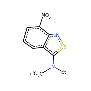 CCN(C(=O)O)c1snc2c([N+](=O)[O-])cccc12